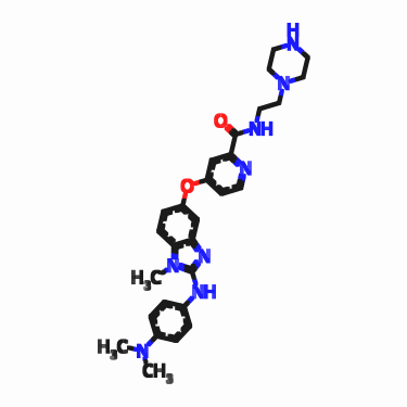 CN(C)c1ccc(Nc2nc3cc(Oc4ccnc(C(=O)NCCN5CCNCC5)c4)ccc3n2C)cc1